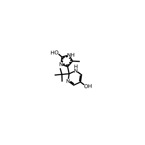 Cc1[nH]c(O)nc1C1(C(C)(C)C)N=CC(O)=CN1